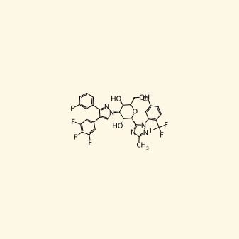 Cc1nc([C@@H]2O[C@H](CO)[C@H](O)[C@H](n3cc(-c4cc(F)c(F)c(F)c4)c(-c4cccc(F)c4)n3)[C@H]2O)n(-c2cc(Cl)ccc2C(F)(F)F)n1